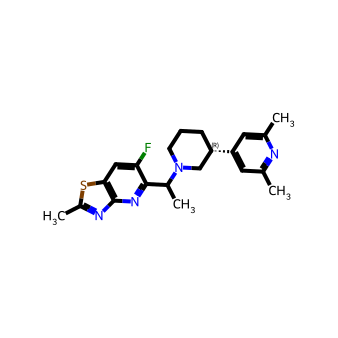 Cc1cc([C@H]2CCCN(C(C)c3nc4nc(C)sc4cc3F)C2)cc(C)n1